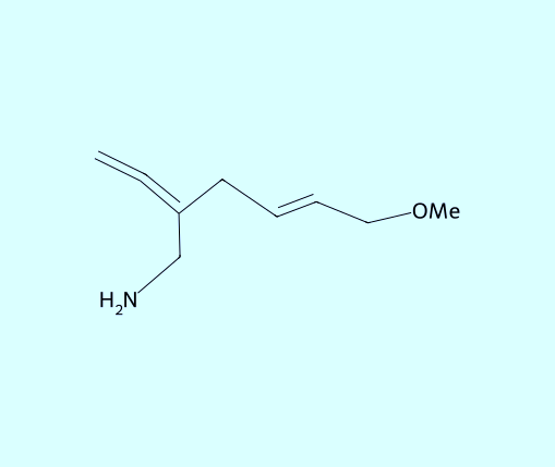 C=C=C(CN)CC=CCOC